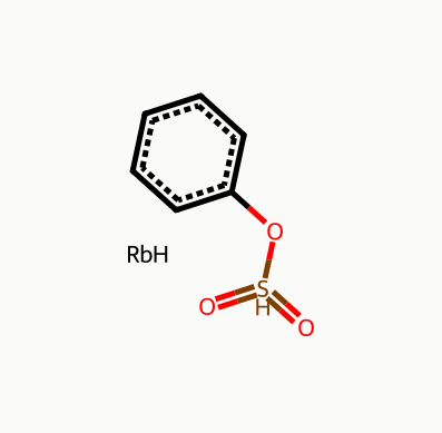 O=[SH](=O)Oc1ccccc1.[RbH]